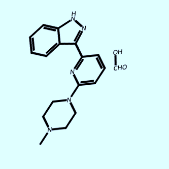 CN1CCN(c2cccc(-c3n[nH]c4ccccc34)n2)CC1.O=CO